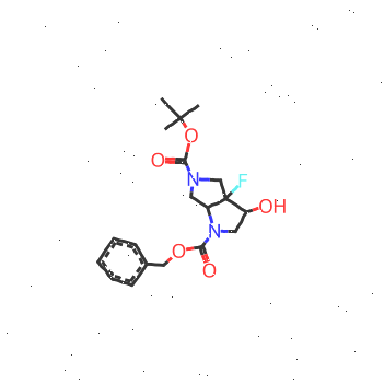 CC(C)(C)OC(=O)N1CC2N(C(=O)OCc3ccccc3)CC(O)C2(F)C1